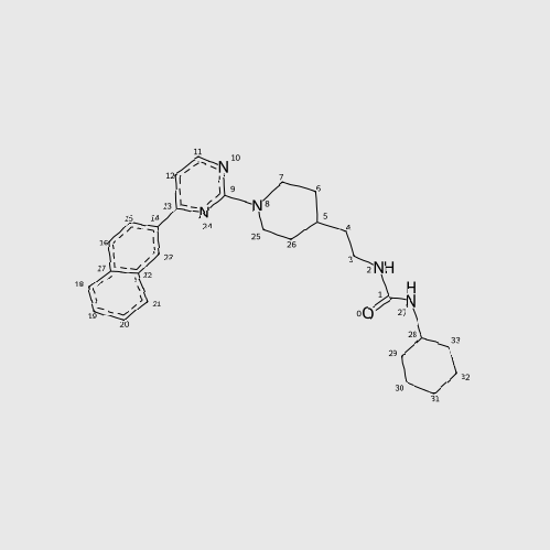 O=C(NCCC1CCN(c2nccc(-c3ccc4ccccc4c3)n2)CC1)NC1CCCCC1